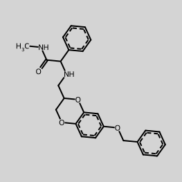 CNC(=O)C(NCC1COc2ccc(OCc3ccccc3)cc2O1)c1ccccc1